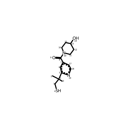 CC(C)(CS)c1cc(C(=O)N2CCC(O)CC2)ccn1